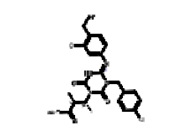 COC(=O)[C@@H](C)[C@@H](C)n1c(=O)[nH]/c(=N\c2ccc(CC(C)C)c(Cl)c2)n(Cc2ccc(Cl)cc2)c1=O